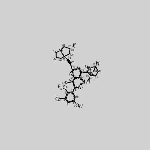 Oc1cc(Cl)c(C(F)(F)F)c(-c2nnc3c(N4C[C@H]5CC[C@@H]4CN5)nc(C#C[C@@]45CCCN4C[C@H](F)C5)nc3c2F)c1